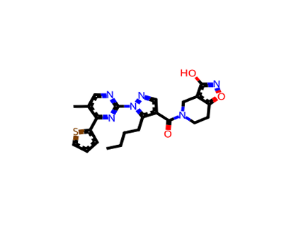 CCCCc1c(C(=O)N2CCc3onc(O)c3C2)cnn1-c1ncc(C)c(-c2cccs2)n1